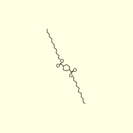 CCCCCCCCCCCCOC(=O)C1CCC(C(=O)OCCCCCCCCCCC)CC1